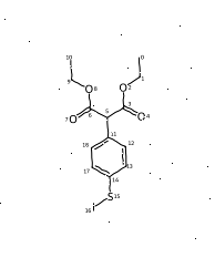 CCOC(=O)C(C(=O)OCC)c1ccc(SI)cc1